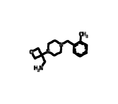 Cc1ccccc1CN1CCN(C2(CN)COC2)CC1